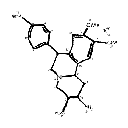 CCCCC1CN2CC(c3ccc(OC)cc3)c3cc(OC)c(OC)cc3C2CC1N.Cl